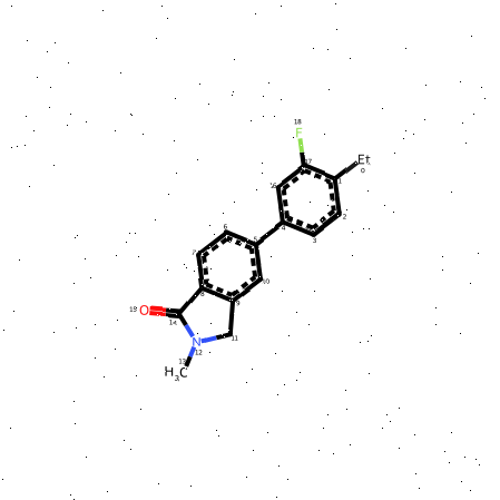 CCc1ccc(-c2ccc3c(c2)CN(C)C3=O)cc1F